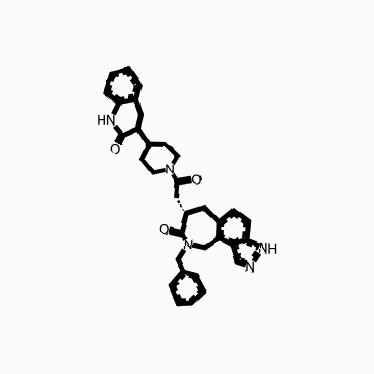 O=C1Nc2ccccc2CC1C1CCN(C(=O)C[C@@H]2Cc3ccc4[nH]ncc4c3CN(Cc3ccccc3)C2=O)CC1